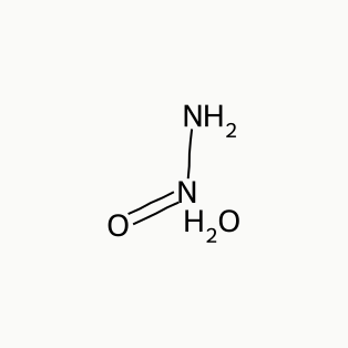 NN=O.O